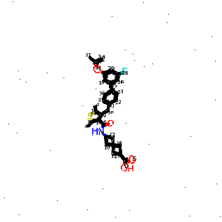 Cc1sc(C)c(C(=O)NC2CC3(C2)CC(C(=O)O)C3)c1Cc1ccc(-c2cc(F)cc(OC(C)C)c2)cc1